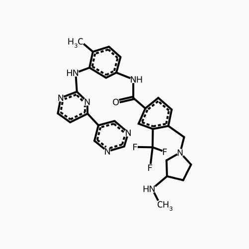 CNC1CCN(Cc2ccc(C(=O)Nc3ccc(C)c(Nc4nccc(-c5cncnc5)n4)c3)cc2C(F)(F)F)C1